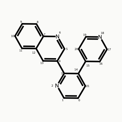 c1cnc(-c2cnc3ccccc3c2)c(-c2ccncc2)c1